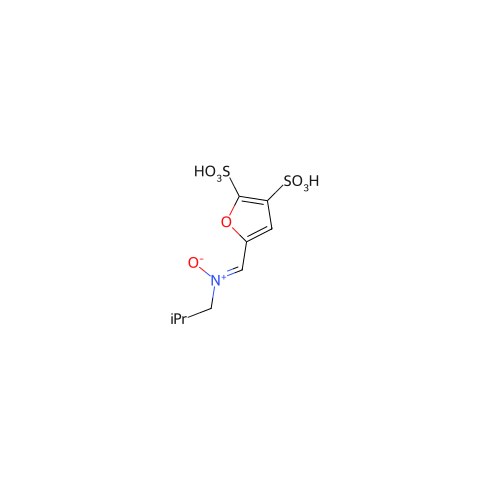 CC(C)C[N+]([O-])=Cc1cc(S(=O)(=O)O)c(S(=O)(=O)O)o1